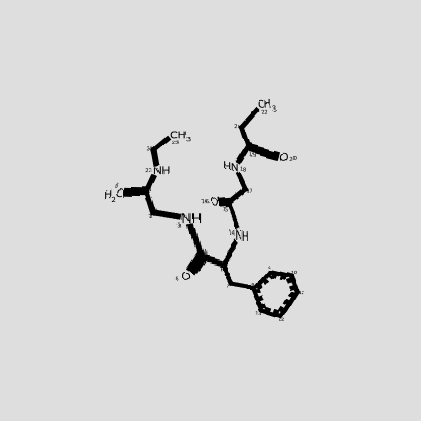 C=C(CNC(=O)C(Cc1ccccc1)NC(=O)CNC(=O)CC)NCC